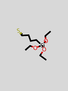 CCO[Si](CCCC=S)(OCC)OCC